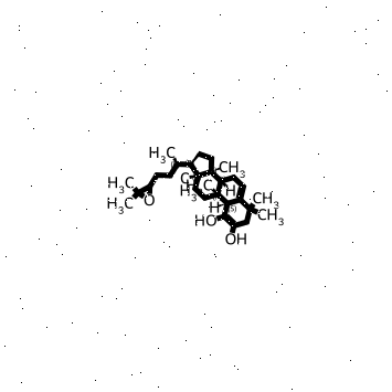 C[C@H](CCC1OC1(C)C)[C@H]1CC[C@@]2(C)[C@@H]3CC=C4[C@@H](C(O)=C(O)CC4(C)C)[C@]3(C)CC[C@]12C